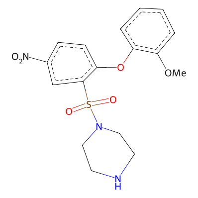 COc1ccccc1Oc1ccc([N+](=O)[O-])cc1S(=O)(=O)N1CCNCC1